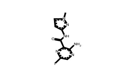 Cn1ccc(NC(=O)c2nc(I)cnc2N)n1